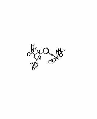 Cc1nnc([C@](C)(O)C#Cc2cccc(-c3nc(C(N)=O)cc(-c4ccnn4C)n3)c2)o1